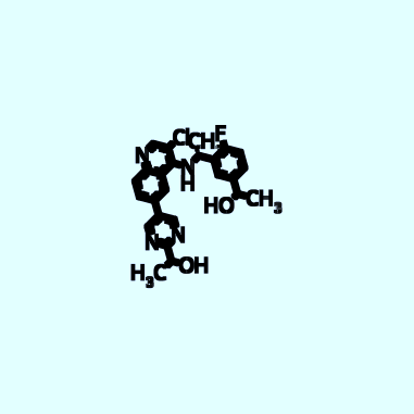 CC(O)c1ccc(F)c([C@@H](C)Nc2c(Cl)cnc3ccc(-c4cnc(C(C)O)nc4)cc23)c1